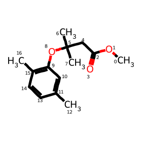 COC(=O)CC(C)(C)Oc1cc(C)ccc1C